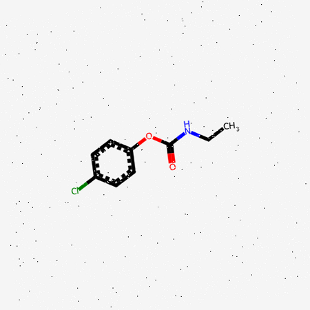 CCNC(=O)Oc1ccc(Cl)cc1